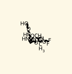 Cc1cc(C(C)N2C[C@@]3(C(=N)C(=O)NCCOCCO)C=CC3C2=O)cnc1OCC(F)F